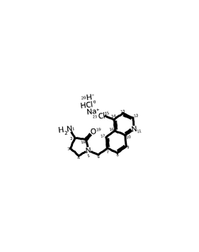 Cl.NC1CCN(Cc2ccc3nccc(Cl)c3c2)C1=O.[H-].[Na+]